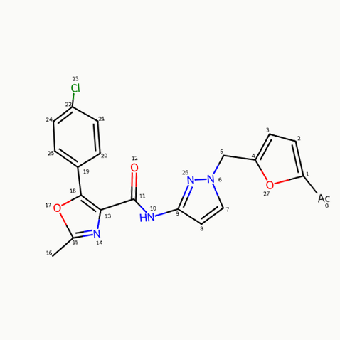 CC(=O)c1ccc(Cn2ccc(NC(=O)c3nc(C)oc3-c3ccc(Cl)cc3)n2)o1